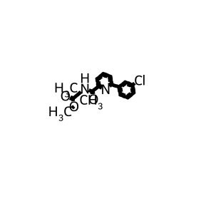 COC(=O)C(C)(C)NC(=O)c1cccc(-c2cccc(Cl)c2)n1